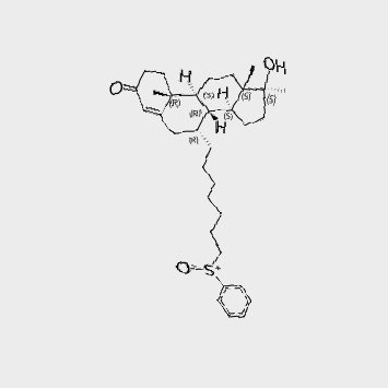 C[C@]12CCC(=O)C=C1C[C@@H](CCCCCCC[S+]([O-])c1ccccc1)[C@@H]1[C@@H]2CC[C@@]2(C)[C@H]1CC[C@]2(C)O